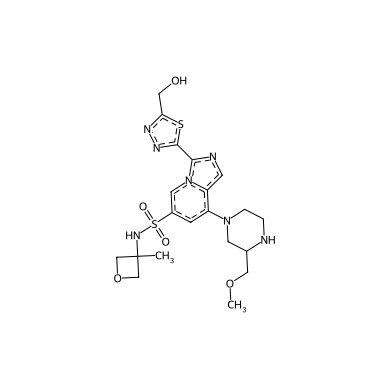 COCC1CN(c2cc(S(=O)(=O)NC3(C)COC3)cn3c(-c4nnc(CO)s4)ncc23)CCN1